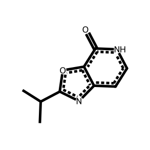 CC(C)c1nc2cc[nH]c(=O)c2o1